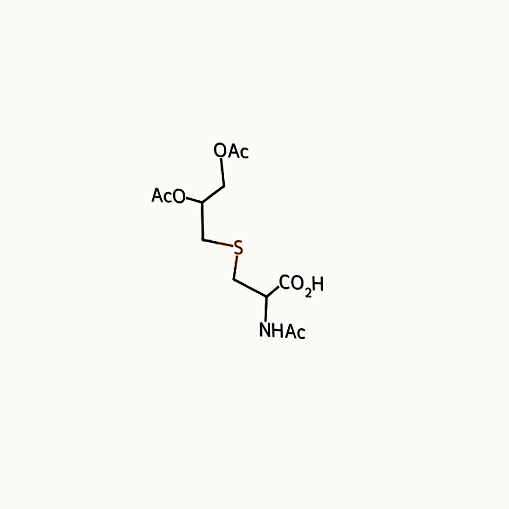 CC(=O)NC(CSCC(COC(C)=O)OC(C)=O)C(=O)O